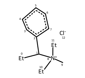 CCC(c1ccccc1)[N+](C)(CC)CC.[Cl-]